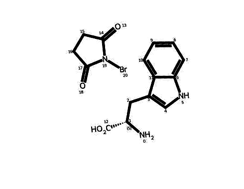 N[C@@H](Cc1c[nH]c2ccccc12)C(=O)O.O=C1CCC(=O)N1Br